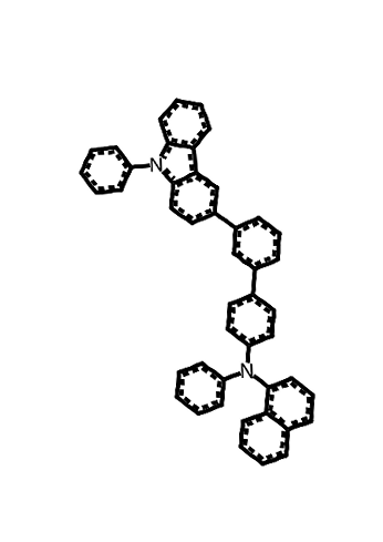 c1ccc(N(c2ccc(-c3cccc(-c4ccc5c(c4)c4ccccc4n5-c4ccccc4)c3)cc2)c2cccc3ccccc23)cc1